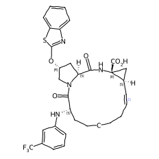 O=C1N[C@]2(C(=O)O)C[C@H]2/C=C\CCCCC[C@H](Nc2cccc(C(F)(F)F)c2)C(=O)N2C[C@H](Oc3nc4ccccc4s3)C[C@@H]12